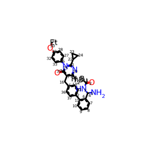 BC(=O)NC(N)c1ccccc1-c1ccc(Cc2c(CCCC)nc(C3CC3)n(-c3ccc(OCC)cc3)c2=O)cc1